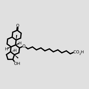 C[C@]12CCC(=O)CC1CC[C@@H]1[C@H]2C(OCCCCCCCCCCCC(=O)O)C[C@]2(C)C(O)CC[C@@H]12